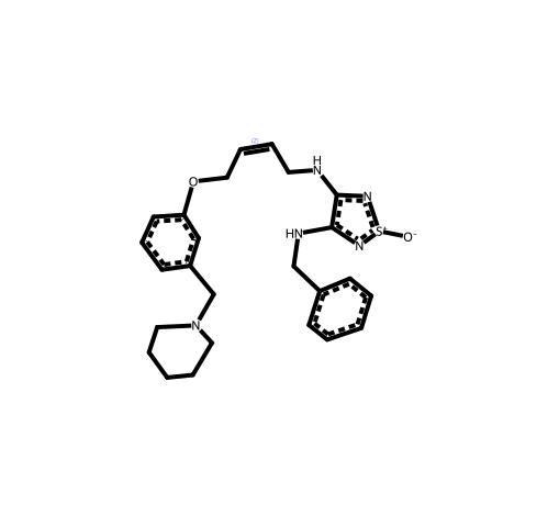 [O-][s+]1nc(NC/C=C\COc2cccc(CN3CCCCC3)c2)c(NCc2ccccc2)n1